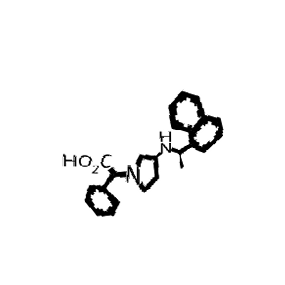 C[C@@H](N[C@H]1CCN(C(C(=O)O)c2ccccc2)C1)c1cccc2ccccc12